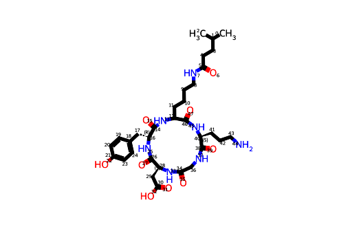 CC(C)CCC(=O)NCCCCC1NC(=O)[C@@H](Cc2ccc(O)cc2)NC(=O)[C@H](CC(=O)O)NC(=O)CNC(=O)[C@H](CCCN)NC1=O